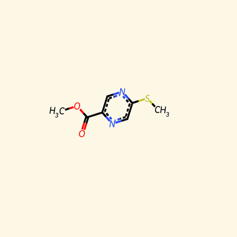 COC(=O)c1cnc(SC)cn1